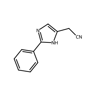 N#CCc1cnc(-c2ccccc2)[nH]1